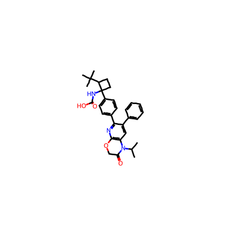 CC(C)N1C(=O)COc2nc(-c3ccc(C4(NC(=O)O)CCC4C(C)(C)C)cc3)c(-c3ccccc3)cc21